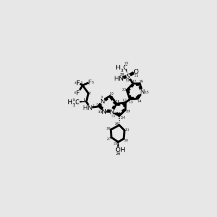 C[C@@H](CC(F)(F)F)Nc1ncc2c(-c3cncc([S@@](C)(=N)=O)c3)cc([C@H]3CC[C@H](O)CC3)n2n1